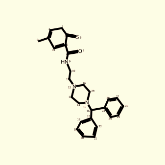 CC1=CCC(=S)C(C(=O)NCCN2CCN(C(c3ccccc3)c3ccccc3)CC2)=C1